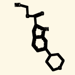 N#CCOC(=O)c1cc2ccc(C3CCOCC3)cc2[nH]1